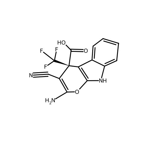 N#CC1=C(N)Oc2[nH]c3ccccc3c2[C@]1(C(=O)O)C(F)(F)F